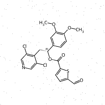 COc1ccc([C@@H](Cc2c(Cl)cncc2Cl)OC(=O)c2ccc(C=O)s2)cc1OC